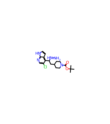 CC(C)(C)OC(=O)N1CCC(CC(NN)c2c(Cl)cnc3[nH]ccc23)CC1